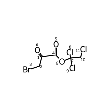 O=C(CBr)C(=O)OC(Cl)(Cl)CCl